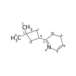 CC1(C)CC(C2=NC=CCC2)C1